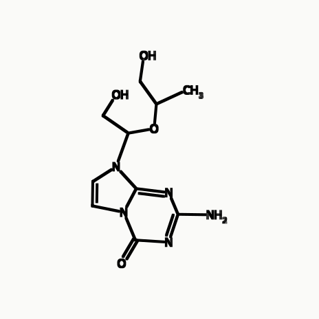 CC(CO)OC(CO)n1ccn2c(=O)nc(N)nc12